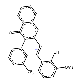 COc1cccc(/C=C/c2nc3ccccc3c(=O)n2-c2cccc(C(F)(F)F)c2)c1O